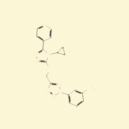 N#Cc1cccc(-n2nnc(CSc3nnc(-c4ccncc4)n3C3CC3)n2)c1